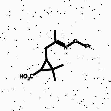 CC(CC1C(C(=O)O)C1(C)C)=NOC(C)C